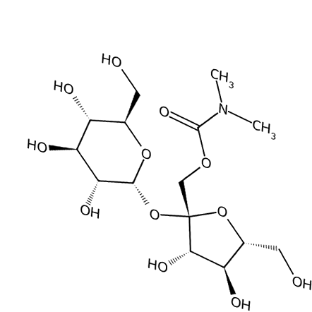 CN(C)C(=O)OC[C@@]1(O[C@H]2O[C@H](CO)[C@@H](O)[C@H](O)[C@H]2O)O[C@H](CO)[C@@H](O)[C@@H]1O